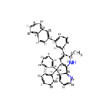 CC1NC2=C(C=C1c1cccc(-c3ccc4ccccc4c3)c1)C(C1=CC=CCC1)(c1ccccc1)c1cccnc12